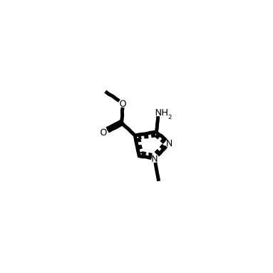 COC(=O)c1cn(C)nc1N